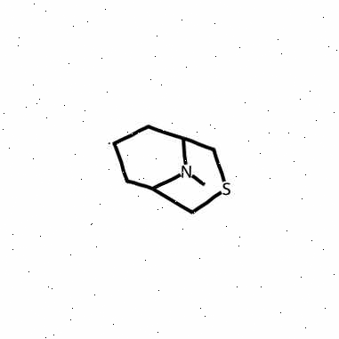 CN1C2C[CH]CC1CSC2